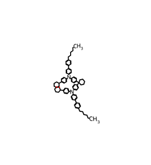 CCCCCCc1ccc(-c2ccc(N(c3ccc(C4CCCCC4)cc3)c3ccc(C4(c5ccc(N(c6ccc(-c7ccc(CCCCCC)cc7)cc6)c6ccc(C7CCCCC7)cc6)cc5)CCCCC4)cc3)cc2)cc1